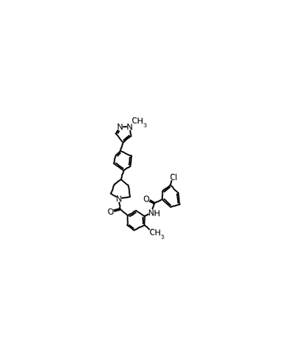 Cc1ccc(C(=O)N2CCC(c3ccc(-c4cnn(C)c4)cc3)CC2)cc1NC(=O)c1cccc(Cl)c1